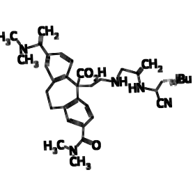 C=C(CNCCC1(C(=O)O)c2ccc(C(=C)N(C)C)cc2CCc2cc(C(=O)N(C)C)ccc21)NC(C#N)C[C@@H](C)CC